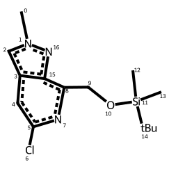 Cn1cc2cc(Cl)nc(CO[Si](C)(C)C(C)(C)C)c2n1